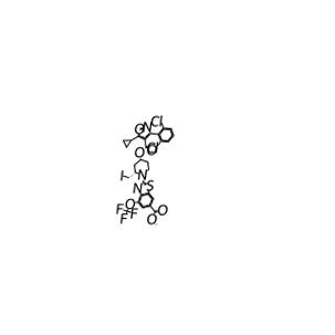 COC(=O)c1cc(OC(F)(F)F)c2nc(N3CC[C@@H](OC(=O)c4c(-c5c(Cl)cccc5Cl)noc4C4CC4)C[C@H]3CI)sc2c1